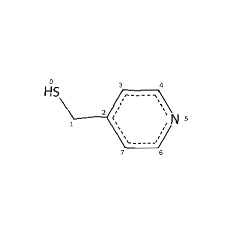 SCc1ccncc1